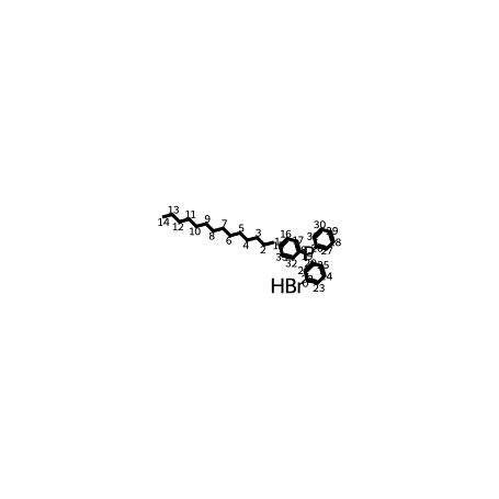 Br.CCCCCCCCCCCCCC.c1ccc(P(c2ccccc2)c2ccccc2)cc1